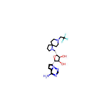 Nc1ncnn2c([C@@H]3O[C@H](CN4CCCC45CCN(CC(F)(F)F)CC5)[C@@H](O)[C@H]3O)ccc12